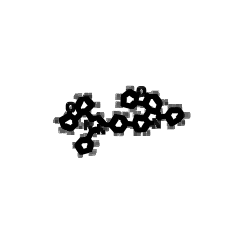 c1ccc(-c2nc(-c3ccc(-c4ccc5nc(-c6ccccc6)c6ccc7oc8ccccc8c7c6c5c4)cc3)cc(-c3cccc4oc5ccccc5c34)n2)cc1